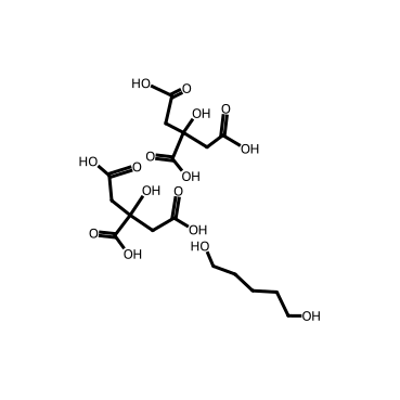 O=C(O)CC(O)(CC(=O)O)C(=O)O.O=C(O)CC(O)(CC(=O)O)C(=O)O.OCCCCCO